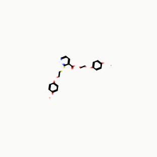 CCCOc1ccc(OCCOC(=O)c2cccnc2SCCOc2ccc(OCCC)cc2)cc1